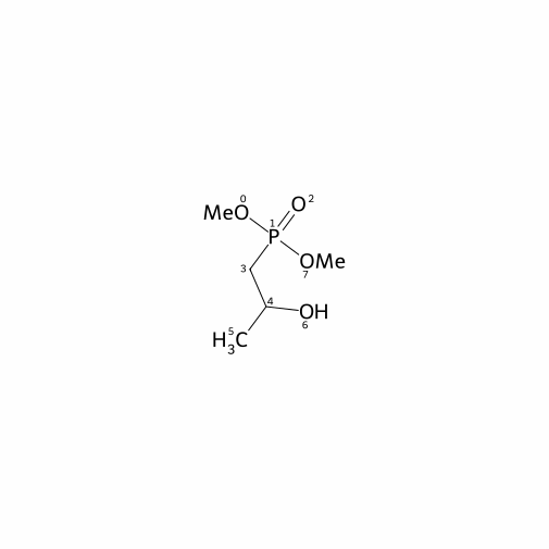 COP(=O)(CC(C)O)OC